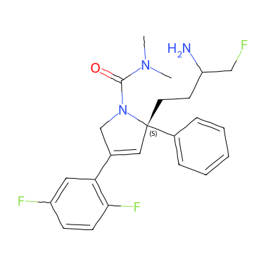 CN(C)C(=O)N1CC(c2cc(F)ccc2F)=C[C@@]1(CCC(N)CF)c1ccccc1